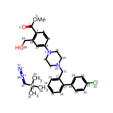 COC(=O)c1ccc(N2CCN(Cc3ccccc3-c3ccc(Cl)cc3)CC2)cc1CO.C[Si](C)(C)C=[N+]=[N-]